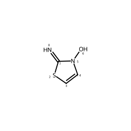 N=c1sc[c]n1O